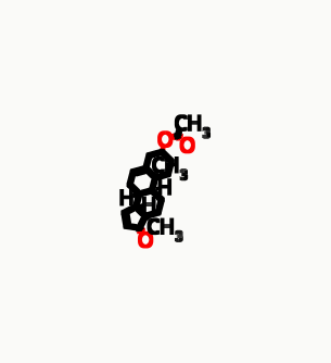 CC(=O)O[C@H]1CC[C@@]2(C)C(=CC[C@@H]3[C@@H]2CC[C@]2(C)C(=O)C=C[C@@H]32)C1